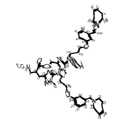 Cn1nc(COC(=O)C(CC(=O)O)Cc2nc(NCCCOc3cccc(CN4CCCCC4)c3)n(C)n2)nc1NCCCOc1cccc(CN2CCCCC2)c1